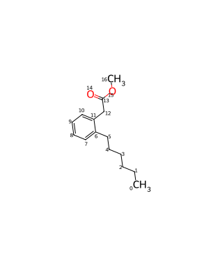 CCCCCCc1ccccc1CC(=O)OC